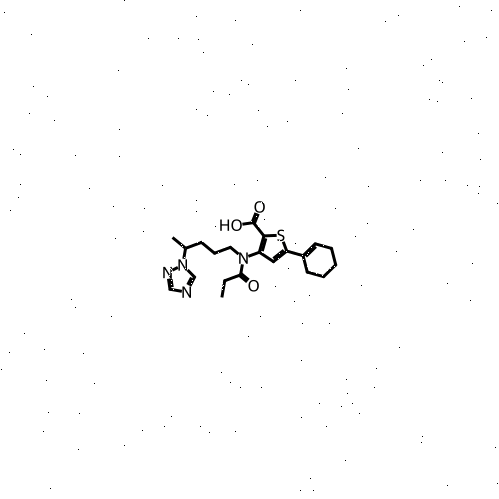 CCC(=O)N(CCCC(C)n1cncn1)c1cc(C2=CCCCC2)sc1C(=O)O